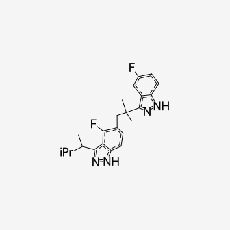 CC(C)C(C)c1n[nH]c2ccc(CC(C)(C)c3n[nH]c4ccc(F)cc34)c(F)c12